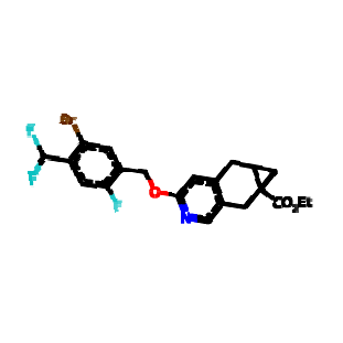 CCOC(=O)C12C3Cc4cc(OCc5cc(Br)c(C(F)F)cc5F)ncc4C1C32